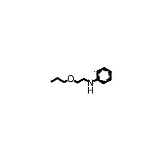 CCCOCCNc1[c]cccc1